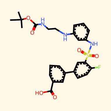 CC(C)(C)OC(=O)NCCNc1cccc(NS(=O)(=O)c2cc(-c3cccc(C(=O)O)c3)ccc2F)c1